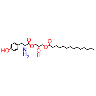 CCCCCCCCCCCCCC(=O)OCC(O)COC(=O)[C@@H](N)Cc1ccc(O)cc1